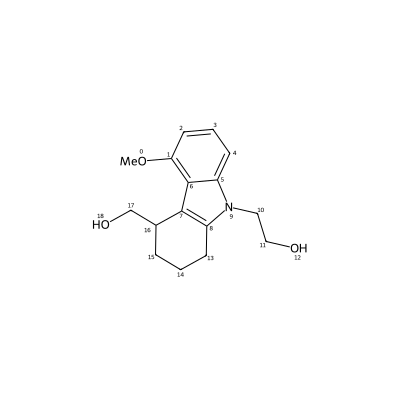 COc1cccc2c1c1c(n2CCO)CCCC1CO